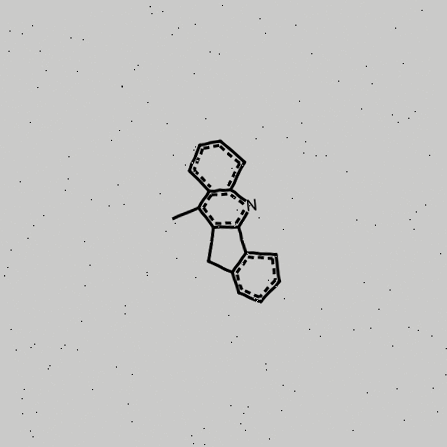 Cc1c2c(nc3ccccc13)-c1ccccc1C2